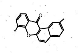 Cc1ccc2ccc3oc4c(F)cccc4c(=O)c3c2c1